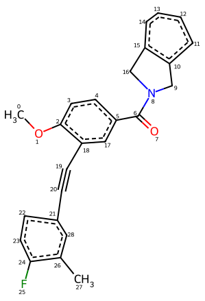 COc1ccc(C(=O)N2Cc3ccccc3C2)cc1C#Cc1ccc(F)c(C)c1